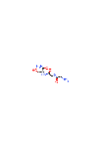 NCC(=O)NCC(=O)N[C@@H](CO)C(N)=O